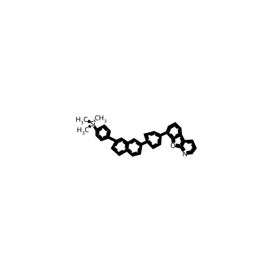 C[Si](C)(C)c1ccc(-c2ccc3ccc(-c4ccc(-c5cccc6c5oc5ncccc56)cc4)cc3c2)cc1